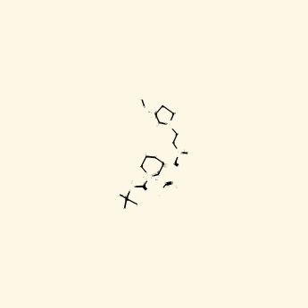 CO[C@H]1CCN(CCN(C)C(=O)[C@H]2CCCN(C(=O)OC(C)(C)C)[C@H]2C(=O)O)C1